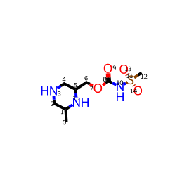 CC1CNCC(COC(=O)NS(C)(=O)=O)N1